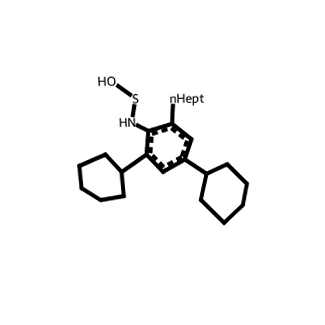 CCCCCCCc1cc(C2CCCCC2)cc(C2CCCCC2)c1NSO